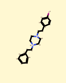 Ic1ccc(CCN2CCN(CCc3ccccc3)CC2)cc1